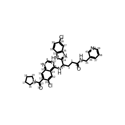 O=C(CCC(Nc1ncnc2cc(C(=O)N3CCCC3)c(Cl)cc12)c1nc2cc(Cl)ccc2[nH]1)NCc1cccnc1